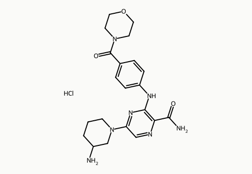 Cl.NC(=O)c1ncc(N2CCCC(N)C2)nc1Nc1ccc(C(=O)N2CCOCC2)cc1